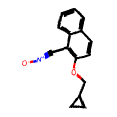 [O-][N+]#Cc1c(OCC2CC2)ccc2ccccc12